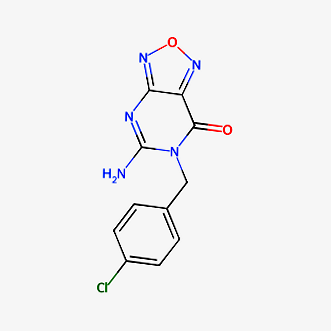 Nc1nc2nonc2c(=O)n1Cc1ccc(Cl)cc1